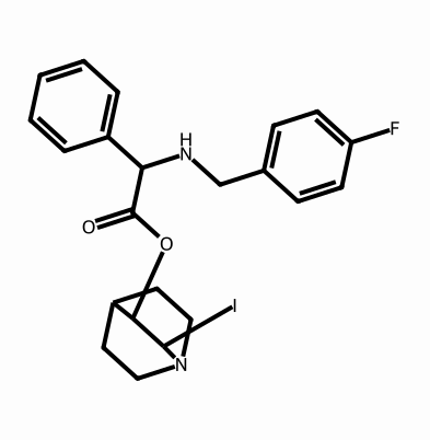 O=C(OC1C2CCN(CC2)C1I)C(NCc1ccc(F)cc1)c1ccccc1